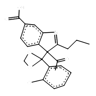 CCCC1=Nc2cc(C(=O)O)ccc2C1(C(C)=O)C1(c2ccccc2Cl)OCO1